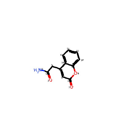 NC(=O)Cc1cc(=O)oc2ccccc12